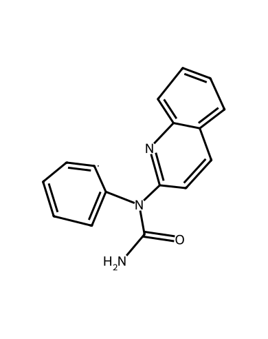 NC(=O)N(c1[c]cccc1)c1ccc2ccccc2n1